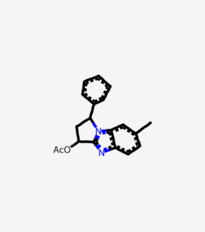 CC(=O)OC1CC(c2ccccc2)n2c1nc1ccc(C)cc12